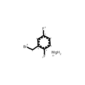 Fc1ccc(F)c(CBr)c1.[MgH2]